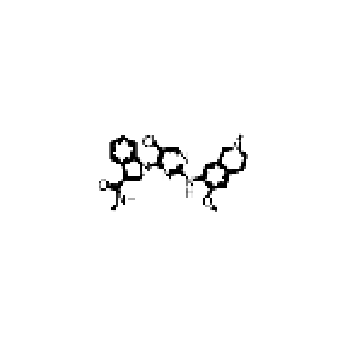 CNC(=O)C1CN(c2nc(Nc3cc4c(cc3OC)CCN(C)C4)ncc2Cl)c2ccccc21